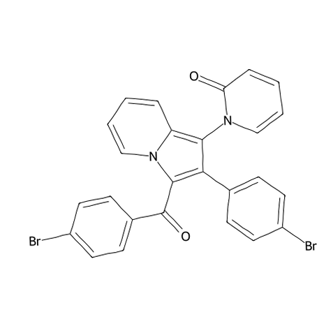 O=C(c1ccc(Br)cc1)c1c(-c2ccc(Br)cc2)c(-n2ccccc2=O)c2ccccn12